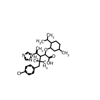 C=C(C(C(OC1CC(C)CCC1C(C)C)C(=O)O)C(C)(C)Cc1ccc(Cl)cc1)n1cncn1